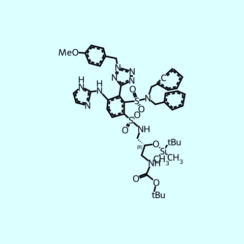 COc1ccc(Cn2nnc(-c3c(Nc4ncc[nH]4)ccc(S(=O)(=O)NC[C@@H](CNC(=O)OC(C)(C)C)O[Si](C)(C)C(C)(C)C)c3S(=O)(=O)N(Cc3ccccc3)Cc3ccccc3)n2)cc1